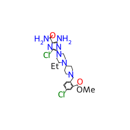 CC[C@H]1CN(c2nc(N)c(C(N)=O)nc2Cl)CCN1C1CCN(Cc2ccc(Cl)cc2C(=O)OC)CC1